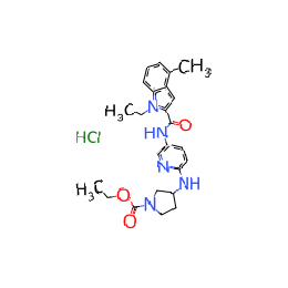 CCOC(=O)N1CCC(Nc2ccc(NC(=O)c3cc4c(C)cccc4n3CC)cn2)C1.Cl